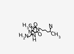 CC(C#N)CCCCn1c(=O)c2[nH]c(CN)nc2n(C)c1=O